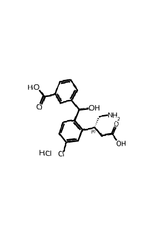 Cl.NC[C@H](CC(=O)O)c1cc(Cl)ccc1C(O)c1cccc(C(=O)O)c1